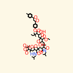 CCOC(=O)C(C(CC(C)(C)C1C(=O)N(CC(C)C)C(=O)C1CC(C)(C)C(C(=O)NCC(C)C)C(CC(C)(C)C1C(=O)OC(=O)C1C)C(=O)O)C(=O)O)C(C)(C)CC(C(=O)O)C(C(=O)Oc1ccc(C(=O)CC(=O)c2ccc(C)cc2)cc1)C(C)(C)CC